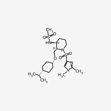 Cc1nc(S(=O)(=O)N2CCC[C@H](NS(C)(=O)=O)[C@@H]2CO[C@H]2CC[C@@H](C(C)C)CC2)cn1C